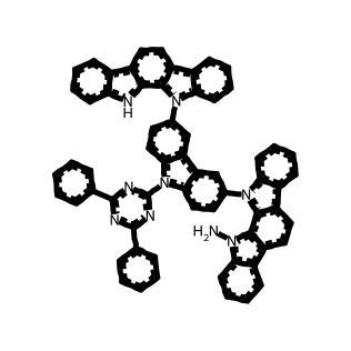 Nn1c2ccccc2c2ccc3c4ccccc4n(-c4ccc5c(c4)c4cc(-n6c7ccccc7c7ccc8c9ccccc9[nH]c8c76)ccc4n5-c4nc(-c5ccccc5)nc(-c5ccccc5)n4)c3c21